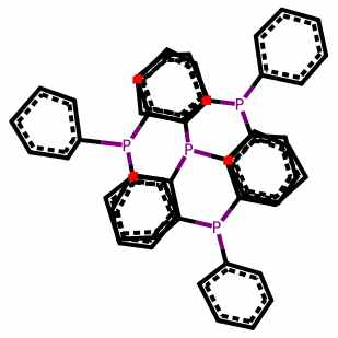 c1ccc(P(c2ccccc2)c2ccccc2P(c2ccccc2P(c2ccccc2)c2ccccc2)c2ccccc2P(c2ccccc2)c2ccccc2)cc1